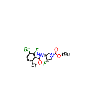 CCc1ccc(Br)c(F)c1C(=O)N[C@@H]1CN(C(=O)OC(C)(C)C)C[C@@H]1F